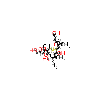 C=C(C(O)C[C@@H]1O[C@H](CC(O)CO)[C@H](OC)C1CS)[C@H](C)CC(O)CC[C@@H]1OC(CCCO)CC1=C